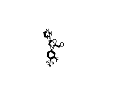 [CH3][Sn]([CH3])([CH3])[c]1ccc(N2C[C@H](n3ccnn3)OC2C=O)cc1F